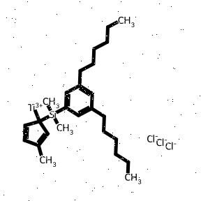 CCCCCCc1cc(CCCCCC)cc([Si](C)(C)[C]2([Ti+3])C=CC(C)=C2)c1.[Cl-].[Cl-].[Cl-]